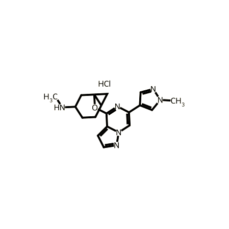 CNC1CCC2CC2(Oc2nc(-c3cnn(C)c3)cn3nccc23)C1.Cl